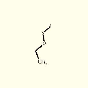 CCOSI